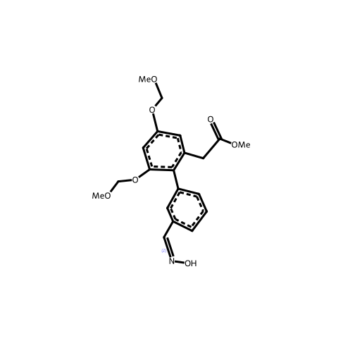 COCOc1cc(CC(=O)OC)c(-c2cccc(/C=N\O)c2)c(OCOC)c1